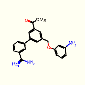 COC(=O)c1cc(COc2cccc(N)c2)cc(-c2cccc(C(=N)N)c2)c1